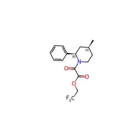 C[C@H]1CCN(C(=O)C(=O)OCC(F)(F)F)[C@@H](c2ccccc2)C1